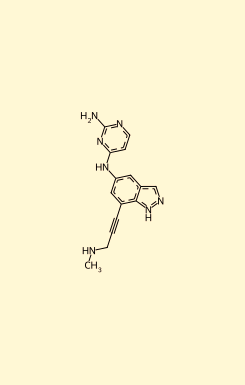 CNCC#Cc1cc(Nc2ccnc(N)n2)cc2cn[nH]c12